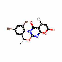 CCc1cc(=O)oc2nc(O[C@H](C)c3cc(Br)cc(Br)c3)[nH]c(=O)c12